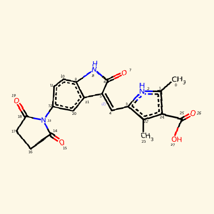 Cc1[nH]c(/C=C2\C(=O)Nc3ccc(N4C(=O)CCC4=O)cc32)c(C)c1C(=O)O